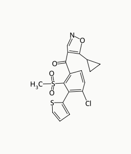 CS(=O)(=O)c1c(C(=O)c2cnoc2C2CC2)ccc(Cl)c1-c1cccs1